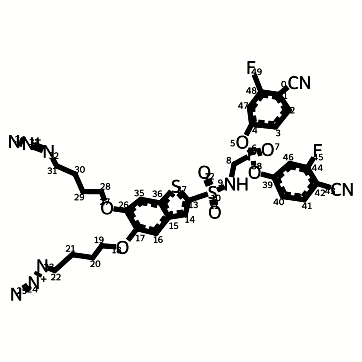 N#Cc1ccc(OP(=O)(CNS(=O)(=O)c2cc3cc(OCCCCN=[N+]=[N-])c(OCCCCN=[N+]=[N-])cc3s2)Oc2ccc(C#N)c(F)c2)cc1F